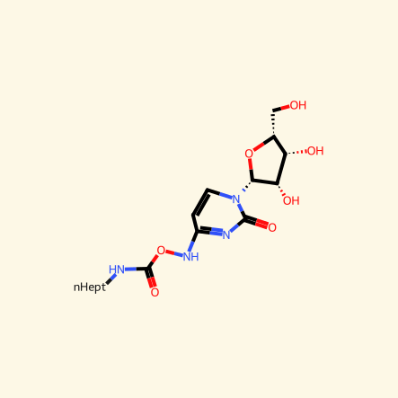 CCCCCCCNC(=O)ONc1ccn([C@@H]2O[C@H](CO)[C@H](O)[C@@H]2O)c(=O)n1